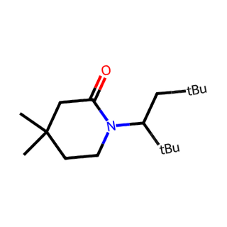 CC(C)(C)CC(N1CCC(C)(C)CC1=O)C(C)(C)C